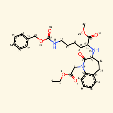 CCOC(=O)CN1C(=O)[C@@H](N[C@@H](CCCCNC(=O)OCc2ccccc2)C(=O)OC)CCc2ccccc21